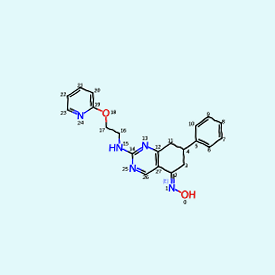 O/N=C1\CC(c2ccccc2)Cc2nc(NCCOc3ccccn3)ncc21